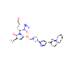 C=C1C=C(OCN2CCC(n3cc(-c4ccc5ccccc5n4)cn3)C2)N(C(CCC=O)C(N)=O)C1=O